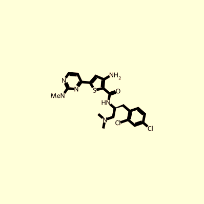 CNc1nccc(-c2cc(N)c(C(=O)N[C@@H](Cc3ccc(Cl)cc3Cl)CN(C)C)s2)n1